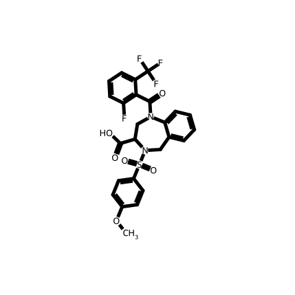 COc1ccc(S(=O)(=O)N2Cc3ccccc3N(C(=O)c3c(F)cccc3C(F)(F)F)CC2C(=O)O)cc1